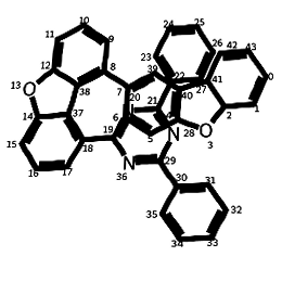 C1=CC2Oc3ccc(-c4cccc5oc6cccc(-c7nc(-c8ccccc8)nc(-c8ccccc8)n7)c6c45)cc3C2C=C1